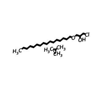 CCCCCCCCCCCCCCCCOCC(O)CCl.CN(C)C